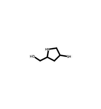 OCC1CC(S)CN1